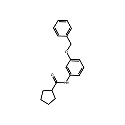 O=C(Nc1cccc(OCc2ccccc2)c1)C1CCCC1